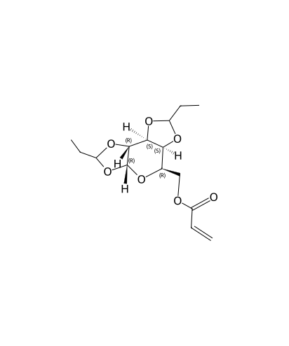 C=CC(=O)OC[C@H]1O[C@@H]2OC(CC)O[C@@H]2[C@H]2OC(CC)O[C@H]21